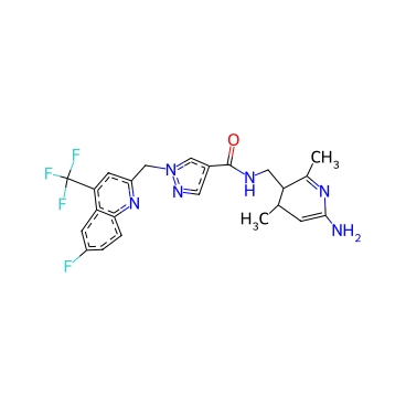 CC1=NC(N)=CC(C)C1CNC(=O)c1cnn(Cc2cc(C(F)(F)F)c3cc(F)ccc3n2)c1